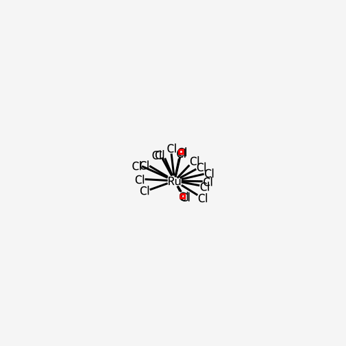 [Cl][Ru]([Cl])([Cl])([Cl])([Cl])([Cl])([Cl])([Cl])([Cl])([Cl])([Cl])([Cl])([Cl])([Cl])([Cl])([Cl])[Cl]